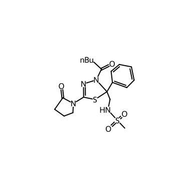 CCCCC(=O)N1N=C(N2CCCC2=O)SC1(CNS(C)(=O)=O)c1ccccc1